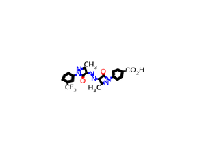 CC1=NN(c2ccc(C(=O)O)cc2)C(=O)C1N=NC1C(=O)N(c2cccc(C(F)(F)F)c2)N=C1C